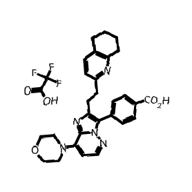 O=C(O)C(F)(F)F.O=C(O)c1ccc(-c2c(CCc3ccc4c(n3)CCCC4)nc3c(N4CCOCC4)ccnn23)cc1